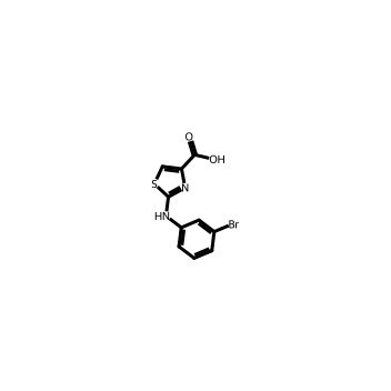 O=C(O)c1csc(Nc2cccc(Br)c2)n1